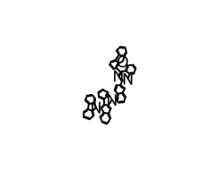 c1cc(-n2c3ccccc3c3c(-n4c5ccccc5c5ccccc54)c4ccccc4cc32)c2ccc(-c3nc(-c4cccc5c4oc4ccccc45)c4ccccc4n3)cc2c1